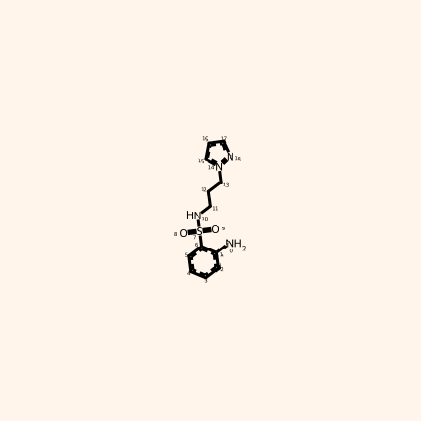 Nc1ccccc1S(=O)(=O)NCCCn1cccn1